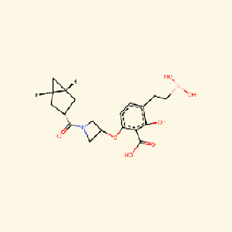 O=C(O)c1c(OC2CN(C(=O)[C@@H]3C[C@@H]4C[C@@H]4C3)C2)ccc(CCB(O)O)c1O